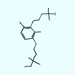 CCC(C)(C)CCCc1ccc(C)c(CCCC(C)(C)I)c1C